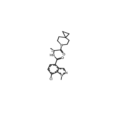 C[C@H](NC(=O)c1ccc(Cl)c2c1cnn2C)C(=O)N1CCC2(CC1)CC2